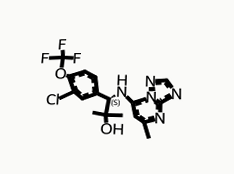 Cc1cc(N[C@@H](c2ccc(OC(F)(F)F)c(Cl)c2)C(C)(C)O)n2ncnc2n1